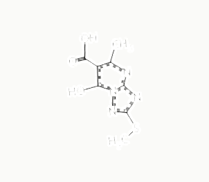 CSc1nc2nc(C)c(C(=O)O)c(O)n2n1